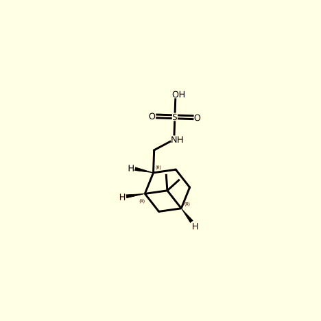 CC1(C)[C@@H]2CC[C@@H](CNS(=O)(=O)O)[C@H]1C2